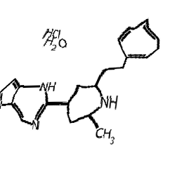 CC1CC(c2ncc3nccc-3[nH]2)CC(CCc2ccccc2)N1.Cl.O